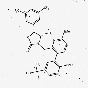 COc1ncc([C@](C)(O)C(F)(F)F)cc1-c1cnc(SC)nc1CN1C(=O)O[C@H](c2cc(C(F)(F)F)cc(C(F)(F)F)c2)[C@@H]1C